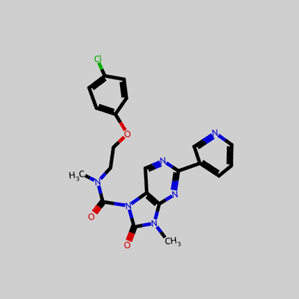 CN(CCOc1ccc(Cl)cc1)C(=O)n1c(=O)n(C)c2nc(-c3cccnc3)ncc21